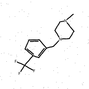 CN1CCN(Cc2c[c]cc(C(F)(F)F)c2)CC1